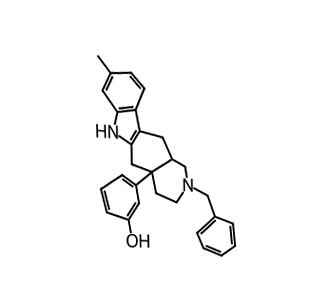 Cc1ccc2c3c([nH]c2c1)CC1(c2cccc(O)c2)CCN(Cc2ccccc2)CC1C3